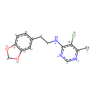 CCc1ncnc(NCCc2ccc3c(c2)OCO3)c1Cl